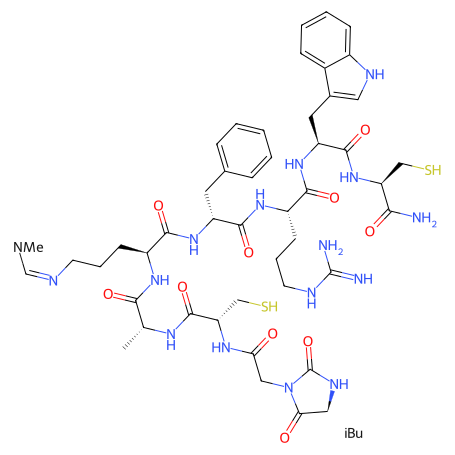 CC[C@H](C)[C@@H]1NC(=O)N(CC(=O)N[C@@H](CS)C(=O)N[C@H](C)C(=O)N[C@@H](CCC/N=C\NC)C(=O)N[C@H](Cc2ccccc2)C(=O)N[C@@H](CCCNC(=N)N)C(=O)N[C@@H](Cc2c[nH]c3ccccc23)C(=O)N[C@@H](CS)C(N)=O)C1=O